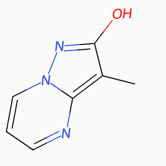 Cc1c(O)nn2cccnc12